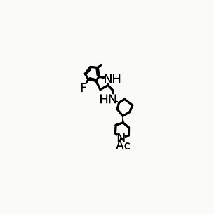 CC(=O)N1CCC([C@@H]2CCC[C@@H](NCC3Cc4c(F)ccc(C)c4N3)C2)CC1